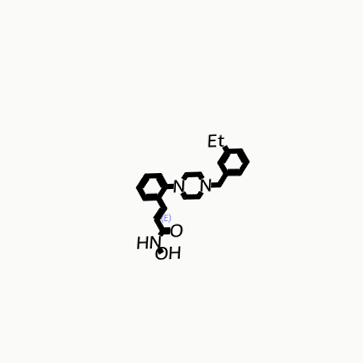 CCc1cccc(CN2CCN(c3ccccc3/C=C/C(=O)NO)CC2)c1